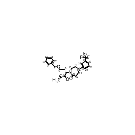 COC(=O)[C@H](CCOCc1ccccc1)N1CCN(c2cccc(C(F)(F)F)c2)CCC1=O